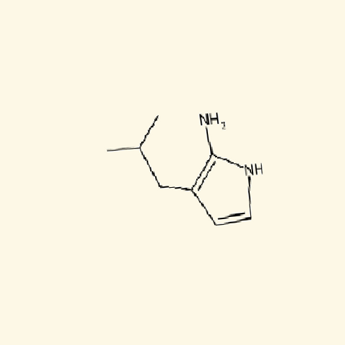 CC(C)Cc1cc[nH]c1N